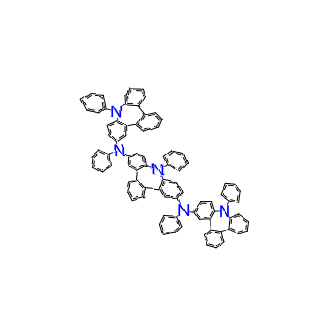 c1ccc(N(c2ccc3c(c2)-c2ccccc2-c2ccccc2N3c2ccccc2)c2ccc3c(c2)-c2ccccc2-c2cc(N(c4ccccc4)c4ccc5c(c4)-c4ccccc4-c4ccccc4N5c4ccccc4)ccc2N3c2ccccc2)cc1